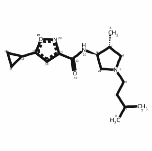 CC(C)CCN1C[C@@H](C)[C@H](NC(=O)c2cc(C3CC3)on2)C1